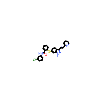 O=C(Nc1cccc(Cl)c1)c1ccccc1Sc1ccc2c(/C=C/c3ccccn3)n[nH]c2c1